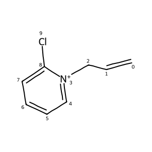 C=CC[n+]1ccccc1Cl